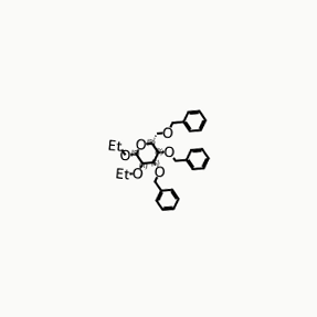 CCO[C@H]1O[C@H](COCc2ccccc2)[C@@H](OCc2ccccc2)[C@H](OCc2ccccc2)[C@H]1OCC